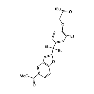 CCc1cc(C(CC)(CC)c2cc3cc(C(=O)OC)ccc3o2)ccc1OCC(=O)C(C)(C)C